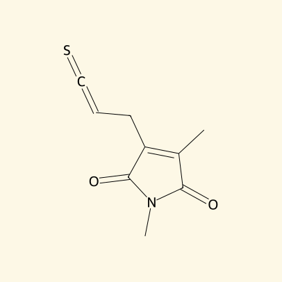 CC1=C(CC=C=S)C(=O)N(C)C1=O